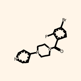 O=C(c1ccc(Br)cc1F)N1CCN(c2ccncc2)CC1